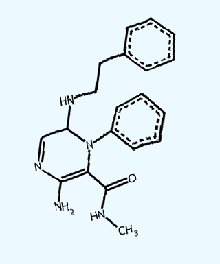 CNC(=O)C1=C(N)N=CC(NCCc2ccccc2)N1c1ccccc1